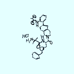 CC(C)(N)C(=O)NC(COCc1ccccc1)C(=O)N1CCc2cc(-c3ccccc3NS(C)(=O)=O)ccc2C1.Cl